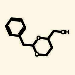 OCC1CCOC(Cc2ccccc2)O1